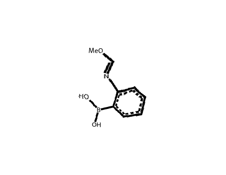 CO/C=N/c1ccccc1B(O)O